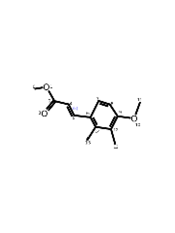 COC(=O)/C=C/c1ccc(OC)c(C)c1C